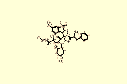 CC(=O)N(C(=O)[C@@H](N)Cc1ccccc1)[C@](CC(C)C)(C(=O)[C@@H](CC1CCCCC1)[C@H](O)C(N)C(=O)NCC(C)C)C1CS(=O)(=O)c2cc(CN)ccc21.O.O